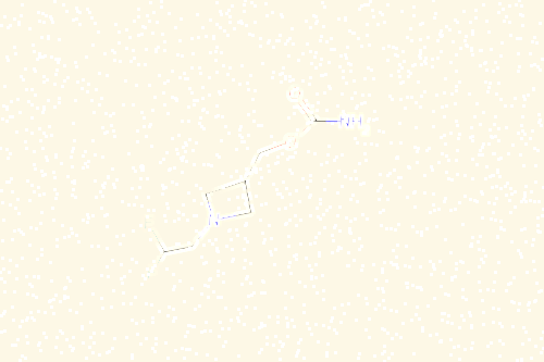 NC(=O)OCC1CN(CC(F)F)C1